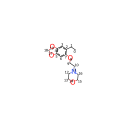 CCc1cc2c(cc1OCCN1CCOCC1)OCO2